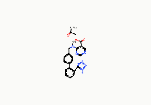 CCCCN(Cc1ccc(-c2ccccc2-c2nnn[nH]2)cc1)c1ncncc1C(=O)OCC(=O)OC